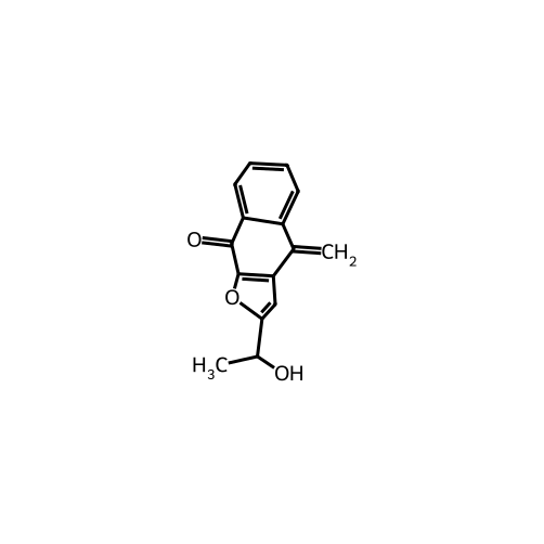 C=C1c2ccccc2C(=O)c2oc(C(C)O)cc21